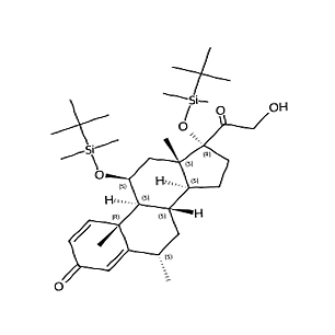 C[C@H]1C[C@@H]2[C@H]([C@@H](O[Si](C)(C)C(C)(C)C)C[C@@]3(C)[C@H]2CC[C@]3(O[Si](C)(C)C(C)(C)C)C(=O)CO)[C@@]2(C)C=CC(=O)C=C12